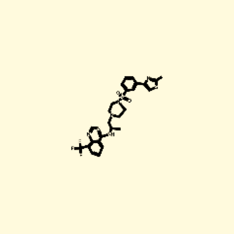 Cc1nc(-c2cccc(S(=O)(=O)N3CCN(CC(C)Nc4ncnc5c(C(F)(F)F)cccc45)CC3)c2)cs1